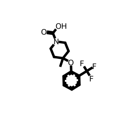 CC1(Oc2ccccc2C(F)(F)F)CCN(C(=O)O)CC1